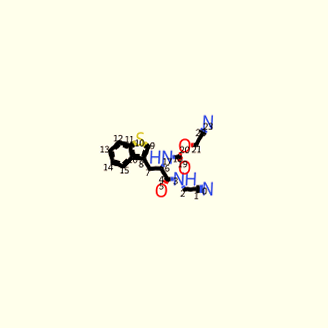 N#CCNC(=O)C(Cc1csc2ccccc12)NC(=O)OCC#N